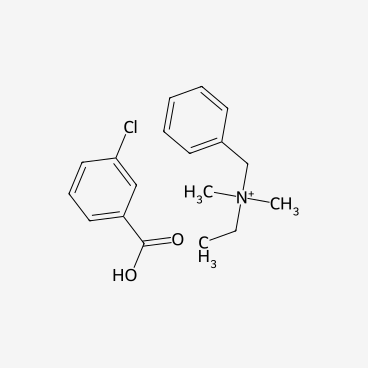 CC[N+](C)(C)Cc1ccccc1.O=C(O)c1cccc(Cl)c1